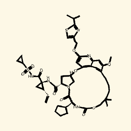 C=C[C@@H]1C[C@]1(NC(=O)[C@@H]1C[C@@H]2CN1C(=O)[C@H](C1CCCC1)NC(=O)OCC(C)(C)CCCc1cc3c(cc(OCc4csc(C(C)C)n4)nc3cc1OC)O2)C(=O)NS(=O)(=O)C1CC1